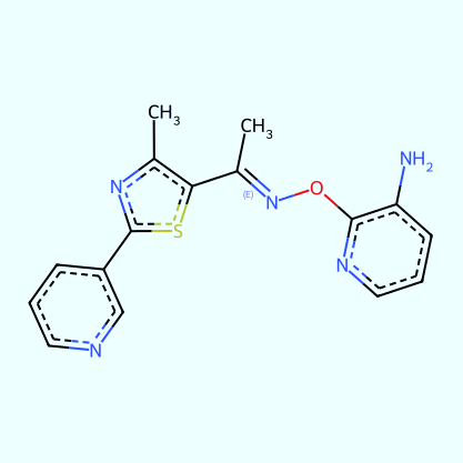 C/C(=N\Oc1ncccc1N)c1sc(-c2cccnc2)nc1C